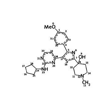 COc1ccc(-c2nc(C3(O)CCN(C)CC3)sc2-c2ccnc(NC3CCCC3)n2)cc1